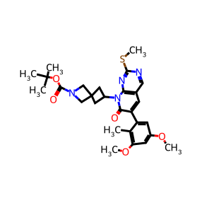 COc1cc(OC)c(C)c(-c2cc3cnc(SC)nc3n(C3CC4(C3)CN(C(=O)OC(C)(C)C)C4)c2=O)c1